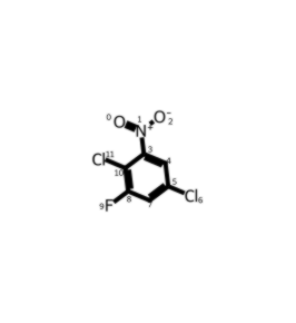 O=[N+]([O-])c1cc(Cl)cc(F)c1Cl